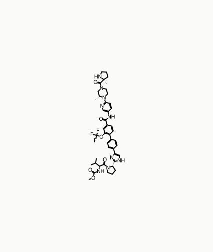 COC(=O)N[C@H](C(=O)N1CCC[C@H]1c1nc(-c2ccc(-c3ccc(C(=O)Nc4ccc(N5CCN(C(=O)[C@]6(C)CCCN6)C[C@H]5C)nc4)cc3OC(F)(F)F)cc2)c[nH]1)C(C)C